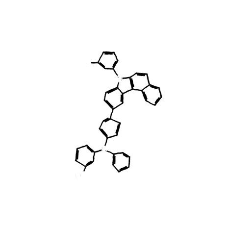 Cc1cccc(N(c2ccccc2)c2ccc(-c3ccc4c(c3)c3c5ccccc5ccc3n4-c3cccc(C)c3)cc2)c1